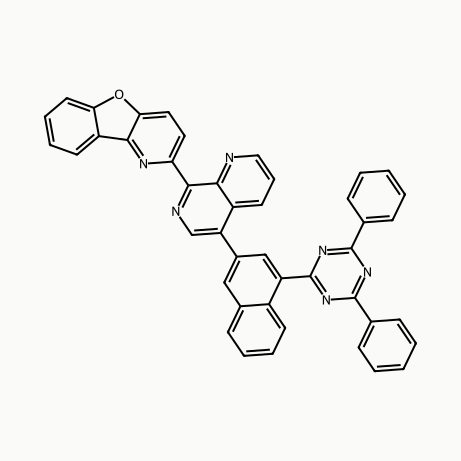 c1ccc(-c2nc(-c3ccccc3)nc(-c3cc(-c4cnc(-c5ccc6oc7ccccc7c6n5)c5ncccc45)cc4ccccc34)n2)cc1